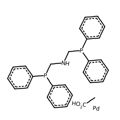 CC(=O)O.[Pd].c1ccc(P(CNCP(c2ccccc2)c2ccccc2)c2ccccc2)cc1